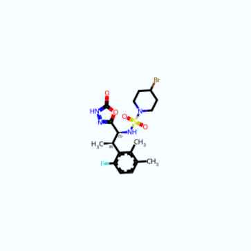 Cc1ccc(F)c([C@@H](C)[C@H](NS(=O)(=O)N2CCC(Br)CC2)c2n[nH]c(=O)o2)c1C